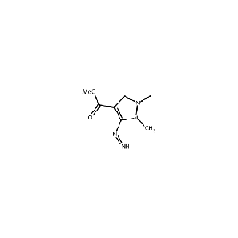 COC(=O)C1=C(N=N)N(C)N(I)C1